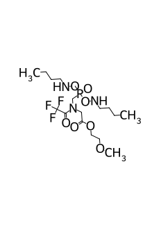 CCCCNOP(=O)(CN(CC(=O)OCCOC)C(=O)C(F)(F)F)ONCCCC